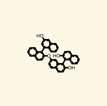 Oc1cc(-c2c(Oc3ccc4ccc(O)c(-c5c(O)ccc6ccccc56)c4c3)ccc3ccccc23)c2ccccc2c1